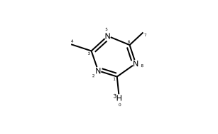 [3H]c1nc(C)nc(C)n1